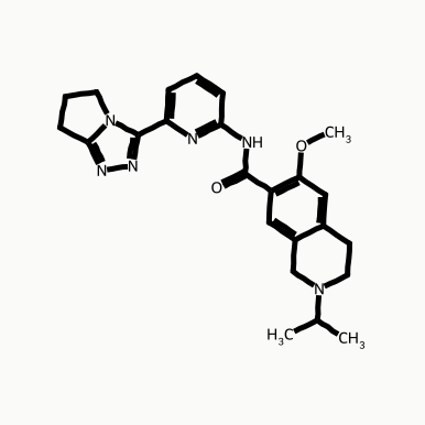 COc1cc2c(cc1C(=O)Nc1cccc(-c3nnc4n3CCC4)n1)CN(C(C)C)CC2